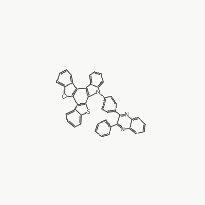 c1ccc(-c2nc3ccccc3nc2-c2ccc(-n3c4ccccc4c4c5c6ccccc6oc5c5c6ccccc6sc5c43)cc2)cc1